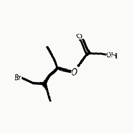 CC(Br)C(C)OC(=O)O